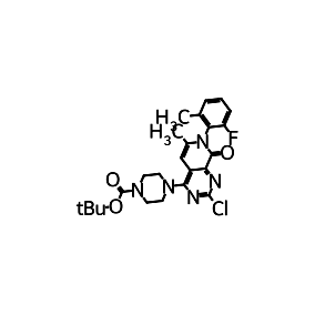 Cc1cccc(F)c1-n1c(C)cc2c(N3CCN(C(=O)OC(C)(C)C)CC3)nc(Cl)nc2c1=O